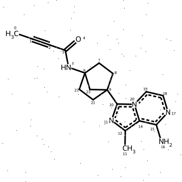 CC#CC(=O)NC12CCC(c3nc(C)c4c(N)nccn34)(CC1)C2